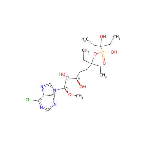 CCC(CC)(CC[C@@H](O)[C@@H](O)[C@@H](OC)n1cnc2c(Cl)ncnc21)OP(=O)(O)C(O)(CC)CC